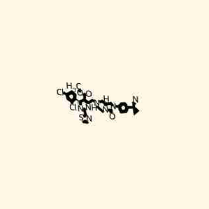 COC(=O)C1=C(CN2CCN3C(=O)N(c4ccc(C5(C#N)CC5)cc4)C[C@@H]3C2)NC(c2nccs2)=N[C@H]1c1ccc(Cl)cc1Cl